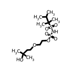 CC(C)C(C)(C)S(=O)(=O)NS(=O)(=O)OCCOCCC(C)(C)O